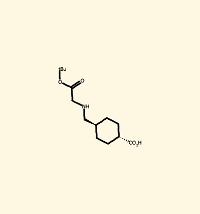 CC(C)(C)OC(=O)CNC[C@H]1CC[C@H](C(=O)O)CC1